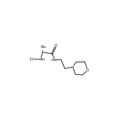 CCNC(C(=O)NCCN1CCOCC1)[C@@H](C)CC